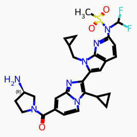 CS(=O)(=O)N(c1ccc2cc(-c3nc4cc(C(=O)N5CC[C@@H](N)C5)ccn4c3C3CC3)n(CC3CC3)c2n1)C(F)F